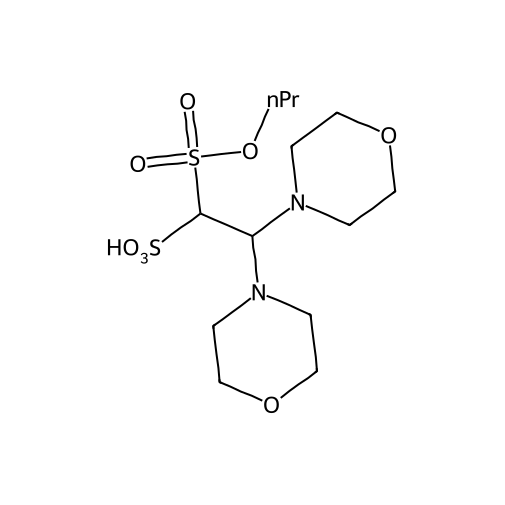 CCCOS(=O)(=O)C(C(N1CCOCC1)N1CCOCC1)S(=O)(=O)O